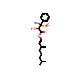 C=C(C=COC(=O)C(O)C(O)(P=O)c1ccccc1)CCCC(C)C